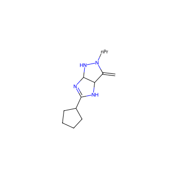 C=C1C2NC(C3CCCC3)=NC2NN1CCC